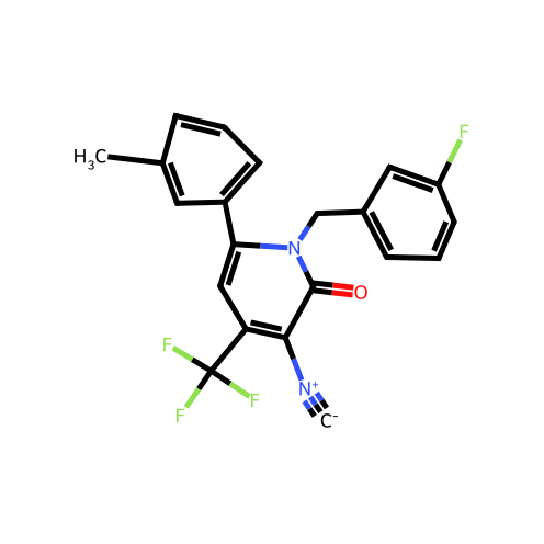 [C-]#[N+]c1c(C(F)(F)F)cc(-c2cccc(C)c2)n(Cc2cccc(F)c2)c1=O